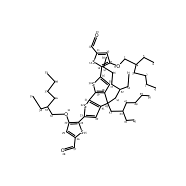 CCCCC(CC)COc1cc(C=O)sc1-c1cc2c(s1)-c1sc(-c3sc(C=O)cc3OCC(CC)CCCC)cc1C2(CC(CC)CCCC)CC(CC)CCCC